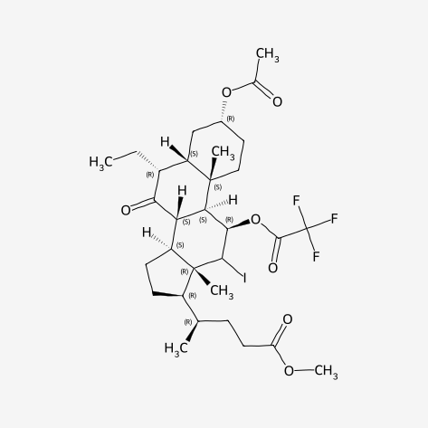 CC[C@H]1C(=O)[C@@H]2[C@H]([C@@H](OC(=O)C(F)(F)F)C(I)[C@]3(C)[C@@H]([C@H](C)CCC(=O)OC)CC[C@@H]23)[C@@]2(C)CC[C@@H](OC(C)=O)C[C@@H]12